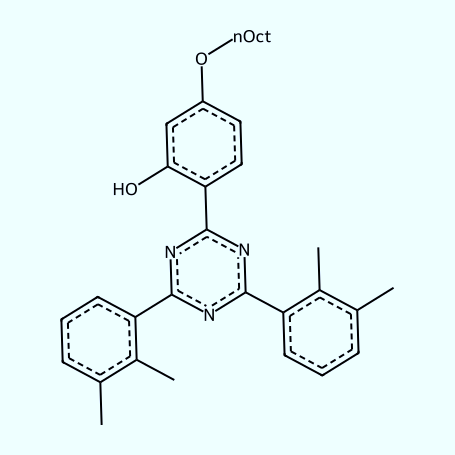 CCCCCCCCOc1ccc(-c2nc(-c3cccc(C)c3C)nc(-c3cccc(C)c3C)n2)c(O)c1